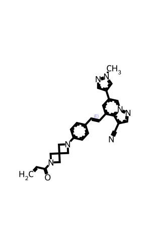 C=CC(=O)N1CC2(C1)CN(c1ccc(/C=C/c3cc(-c4cnn(C)c4)cn4ncc(C#N)c34)cc1)C2